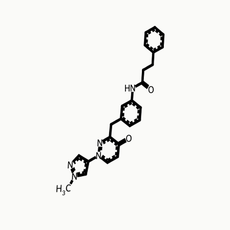 Cn1cc(-n2ccc(=O)c(Cc3cccc(NC(=O)CCc4ccccc4)c3)n2)cn1